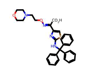 O=C(O)/C(=N\OCCN1CCOCC1)c1csc(NC(c2ccccc2)(c2ccccc2)c2ccccc2)n1